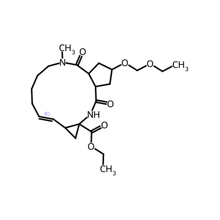 CCOCOC1CC2C(=O)NC3(C(=O)OCC)CC3/C=C/CCCCN(C)C(=O)C2C1